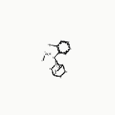 CC(=O)O.Fc1ccccc1CC1CC2CCC1NC2